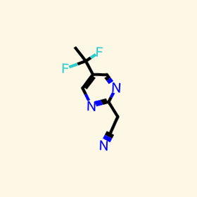 CC(F)(F)c1cnc(CC#N)nc1